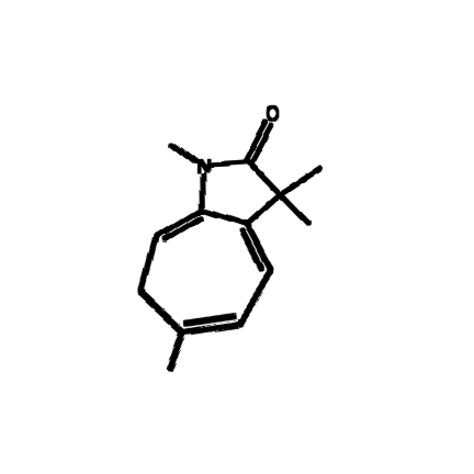 CC1=CC=C2C(=CC1)N(C)C(=O)C2(C)C